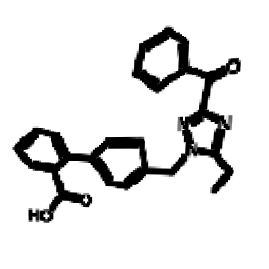 CCc1nc(C(=O)c2ccccc2)nn1Cc1ccc(-c2ccccc2C(=O)O)cc1